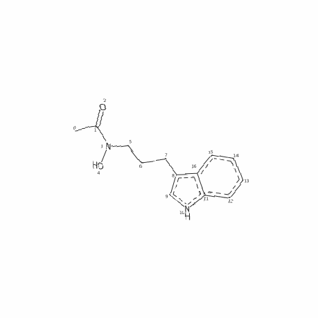 CC(=O)N(O)CCCc1c[nH]c2ccccc12